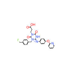 O=C(O)CCn1c(=O)[nH]/c(=N\c2ccc(Oc3ccccn3)cc2)n(Cc2ccc(CF)cc2)c1=O